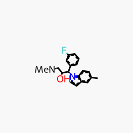 CNCC(O)C(c1cccc(F)c1)n1ccc2cc(C)ccc21